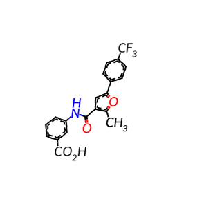 Cc1oc(-c2ccc(C(F)(F)F)cc2)cc1C(=O)Nc1cccc(C(=O)O)c1